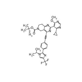 COc1ncnc(C2CC2)c1-c1nc(C#Cc2ccc(-c3nc(C(F)(F)F)cn3C(C)C)cc2)c2c(n1)CCN(C(=O)OC(C)(C)C)C2